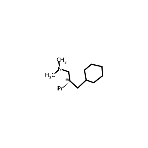 CC(C)[C@@H](CC1CCCCC1)CN(C)C